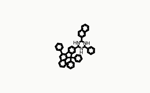 c1ccc(-c2cc3ccccc3c3c2-c2ccc(C4NC(c5ccccc5)NC(c5ccc6ccccc6c5)N4)cc2C3(c2ccccc2)c2ccccc2)cc1